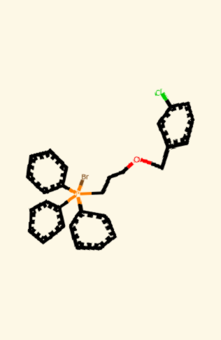 Clc1cccc(COCCCP(Br)(c2ccccc2)(c2ccccc2)c2ccccc2)c1